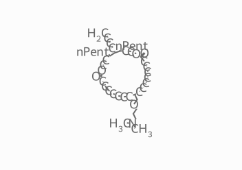 C=C=C=C=C1C(CCCCC)CCOC(=O)CCCCCCCC(COCCCN(C)C)CCCCCCCC(=O)OCCC1CCCCC